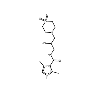 Cc1c[nH]c(C)c1C(=O)NCC(O)CN1CCS(=O)(=O)CC1